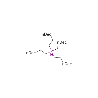 CCCCCCCCCCCC[PH](CCCCCCCCCCC)(CCCCCCCCCCCC)CCCCCCCCCCCC